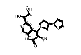 N#Cc1c(N2CCC(n3cccn3)C2)c2cc(C(O)CO)ncc2[nH]c1=O